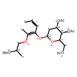 C/C=C\C(O[C@H]1C[C@@H](OC(C)=O)[C@@H](OC(C)=O)C(COC(C)=O)O1)=C(/C)OCC(C)OC